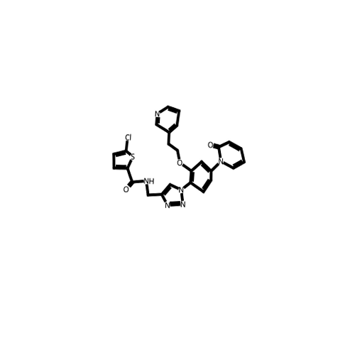 O=C(NCc1cn(-c2ccc(-n3ccccc3=O)cc2OCCc2cccnc2)nn1)c1ccc(Cl)s1